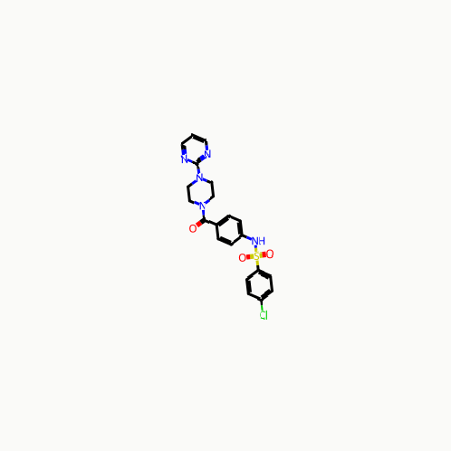 O=C(c1ccc(NS(=O)(=O)c2ccc(Cl)cc2)cc1)N1CCN(c2ncccn2)CC1